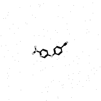 N#Cc1ccc(Oc2ccc([N+](=O)[O-])nc2)cc1